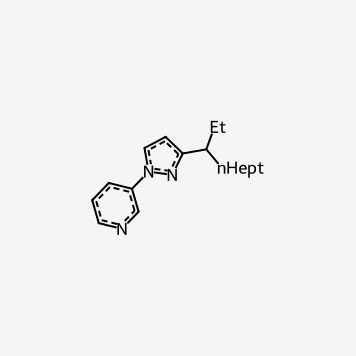 CCCCCCCC(CC)c1ccn(-c2cccnc2)n1